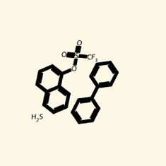 O=S(=O)(Oc1cccc2ccccc12)C(F)(F)F.S.c1ccc(-c2ccccc2)cc1